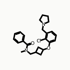 CN(CC1CC(Oc2cccc(CN3CCCC3)c2Cl)C1)C(=O)c1ccccc1